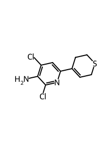 Nc1c(Cl)cc(C2=CCSCC2)nc1Cl